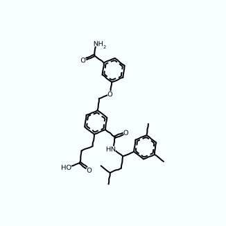 Cc1cc(C)cc(C(CC(C)C)NC(=O)c2cc(COc3cccc(C(N)=O)c3)ccc2CCC(=O)O)c1